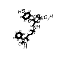 CC(C)(CCC1CNC(=O)N1c1ccccc1)NCC(OC(=O)C(=O)O)C(O)Oc1ccc(O)cc1